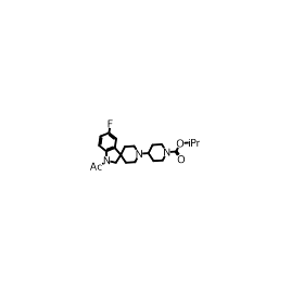 CC(=O)N1CC2(CCN(C3CCN(C(=O)OC(C)C)CC3)CC2)c2cc(F)ccc21